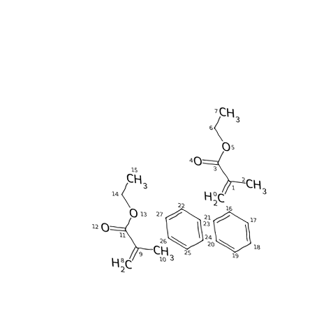 C=C(C)C(=O)OCC.C=C(C)C(=O)OCC.c1ccccc1.c1ccccc1